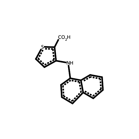 O=C(O)c1sccc1Nc1cccc2ccccc12